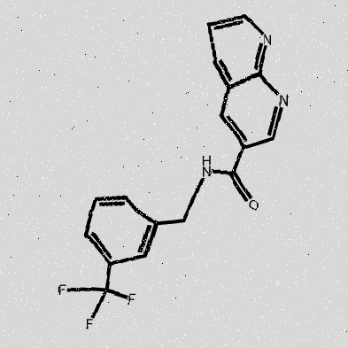 O=C(NCc1cccc(C(F)(F)F)c1)c1cnc2ncccc2c1